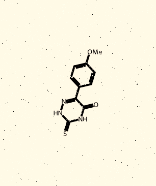 COc1ccc(-c2n[nH]c(=S)[nH]c2=O)cc1